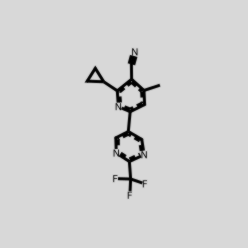 Cc1cc(-c2cnc(C(F)(F)F)nc2)nc(C2CC2)c1C#N